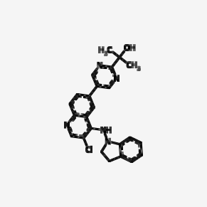 CC(C)(O)c1ncc(-c2ccc3ncc(Cl)c(NN4CCc5ccccc54)c3c2)cn1